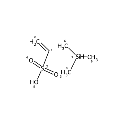 C=CS(=O)(=O)O.C[SiH](C)C